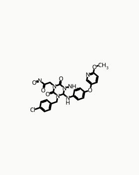 COc1ccc(Oc2ccc(NC3N(N)C(=O)N(CC(=O)N=O)C(=O)N3Cc3ccc(Cl)cc3)cc2)cn1